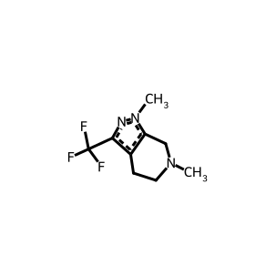 CN1CCc2c(C(F)(F)F)nn(C)c2C1